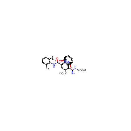 CCCCCNC(=N)c1c(C(=O)O)cc(C(=O)Nc2c(C)cccc2CC)c2c3ccc(c(=O)[nH]c3=O)c12